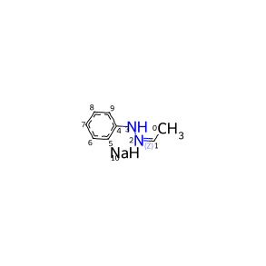 C/C=N\Nc1ccccc1.[NaH]